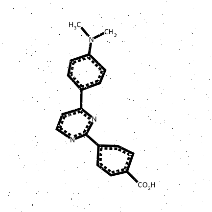 CN(C)c1ccc(-c2ccnc(-c3ccc(C(=O)O)cc3)n2)cc1